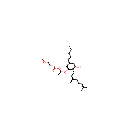 CCCCCc1cc(O)c(CC=C(C)CCC=C(C)C)c(OC(C)OC(=O)OCCOC)c1